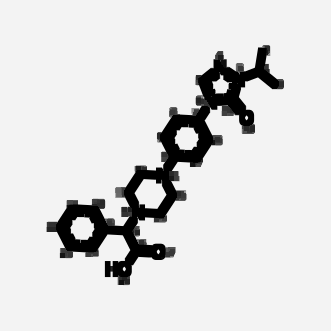 CC(C)n1ncn(-c2ccc(N3CCN(C(C(=O)O)c4ccccc4)CC3)cc2)c1=O